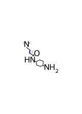 CN(C)C/C=C/C(=O)N[C@H]1CC[C@@H](N)CC1